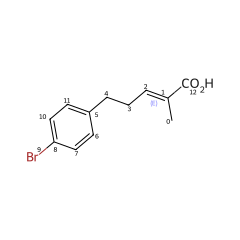 C/C(=C\CCc1ccc(Br)cc1)C(=O)O